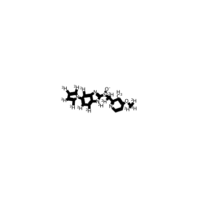 [2H]c1c(-n2c([2H])c([2H])c([2H])c2[2H])c([2H])c2nc([S+]([O-])C([2H])([2H])c3nccc(OC([2H])([2H])[2H])c3C)n([2H])c2c1[2H]